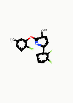 O=Cc1ccc(-c2cccc(F)c2F)nc1Oc1cc(C(F)(F)F)ccc1F